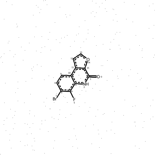 O=c1[nH]c2c(F)c(Br)ccc2c2ccoc12